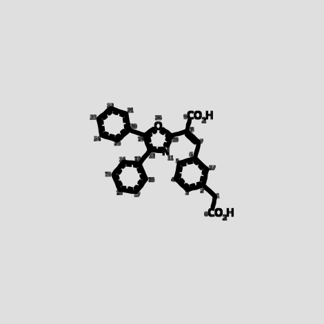 O=C(O)Cc1cccc(/C=C(/C(=O)O)c2nc(-c3ccccc3)c(-c3ccccc3)o2)c1